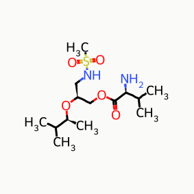 CC(C)[C@H](C)O[C@@H](CNS(C)(=O)=O)COC(=O)[C@@H](N)C(C)C